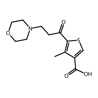 Cc1c(C(=O)O)csc1C(=O)CCN1CCOCC1